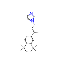 CC(=CCn1ccnc1)c1ccc2c(c1)C(C)(C)CCC2(C)C